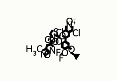 Cc1noc2ncc(S(=O)(=O)N3CCSC3C(=O)OC(Cc3c(Cl)c[n+]([O-])cc3Cl)c3ccc(OC(F)F)c(OCC4CC4)c3)cc12